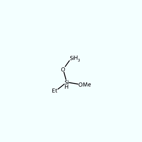 CC[SiH](OC)O[SiH3]